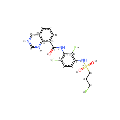 O=C(Nc1c(F)ccc(NS(=O)(=O)CCCF)c1F)c1cccc2cncnc12